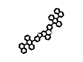 c1ccc2c(-c3c4ccccc4c(-c4ccc5c(c4)Sc4cccc6c4c-5cc4sc5cc(-c7c8ccccc8c(-c8cccc9ccccc89)c8ccccc78)ccc5c46)c4ccccc34)cccc2c1